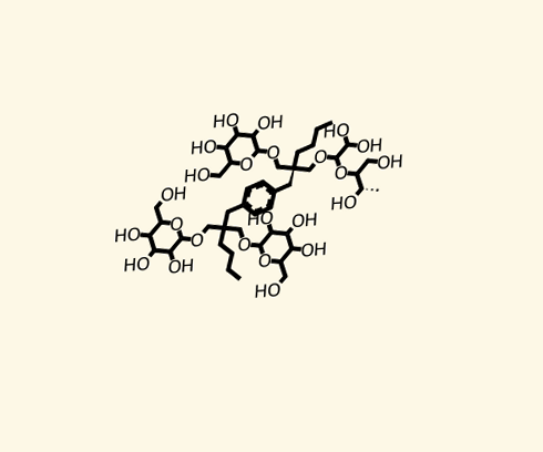 CCCCC(COC1OC(CO)C(O)C(O)C1O)(COC1OC(CO)C(O)C(O)C1O)Cc1ccc(C[C@@](CCCC)(COC(OC(CO)[C@H](C)O)C(O)O)COC2OC(CO)C(O)C(O)C2O)cc1